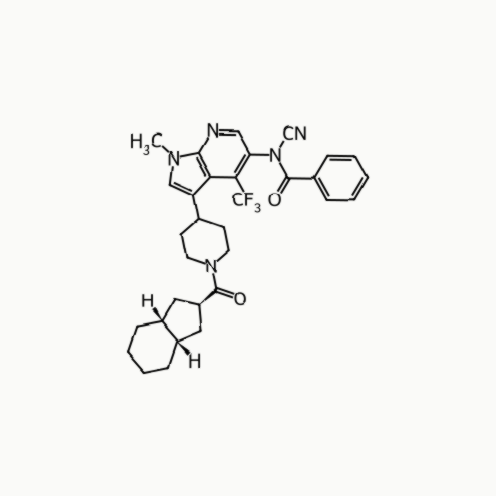 Cn1cc(C2CCN(C(=O)[C@@H]3C[C@H]4CCCC[C@H]4C3)CC2)c2c(C(F)(F)F)c(N(C#N)C(=O)c3ccccc3)cnc21